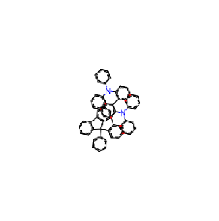 c1ccc(N(c2ccccc2)c2ccccc2-c2cccc(-c3ccccc3C3(c4ccccc4)c4ccccc4-c4ccccc43)c2N(c2ccccc2)c2ccccc2)cc1